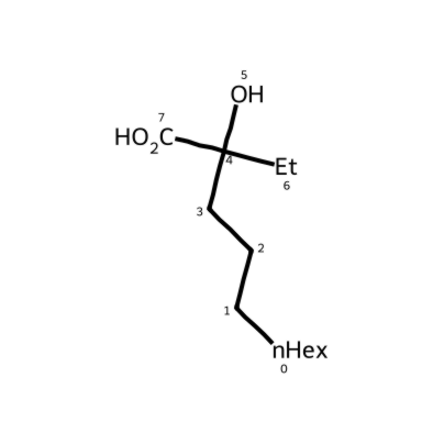 CCCCCCCCCC(O)(CC)C(=O)O